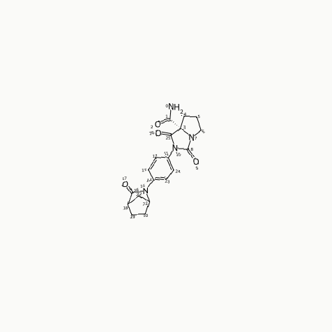 NC(=O)[C@]12[CH]CCN1C(=O)N(c1ccc(N3C(=O)C4CCC3C4)cc1)C2=O